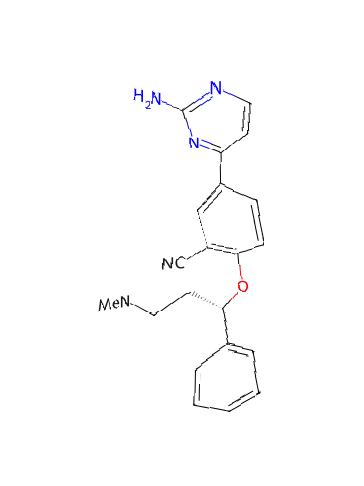 CNCC[C@H](Oc1ccc(-c2ccnc(N)n2)cc1C#N)c1ccccc1